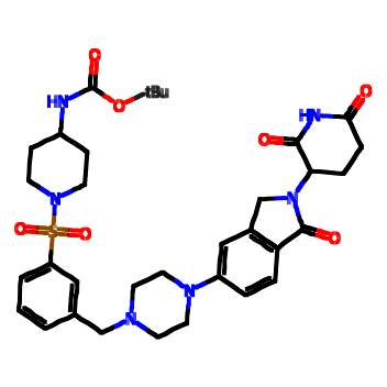 CC(C)(C)OC(=O)NC1CCN(S(=O)(=O)c2cccc(CN3CCN(c4ccc5c(c4)CN(C4CCC(=O)NC4=O)C5=O)CC3)c2)CC1